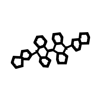 c1ccc2c(c1)C(=C1c3ccccc3N(c3ccc4ccccc4c3)c3ccccc31)c1ccccc1N2c1ccc2ccccc2c1